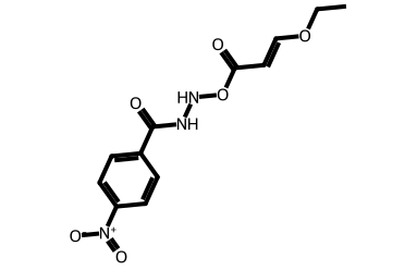 CCOC=CC(=O)ONNC(=O)c1ccc([N+](=O)[O-])cc1